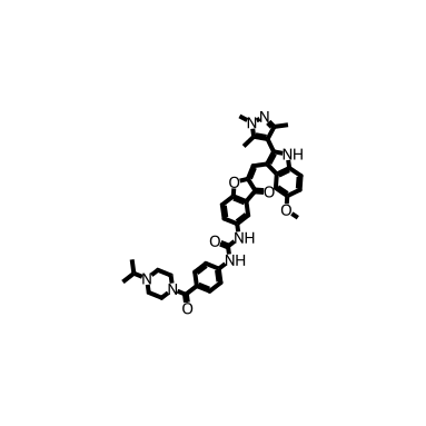 COc1ccc2[nH]c(-c3c(C)nn(C)c3C)c(C=C3Oc4ccc(NC(=O)Nc5ccc(C(=O)N6CCN(C(C)C)CC6)cc5)cc4C3=O)c2c1